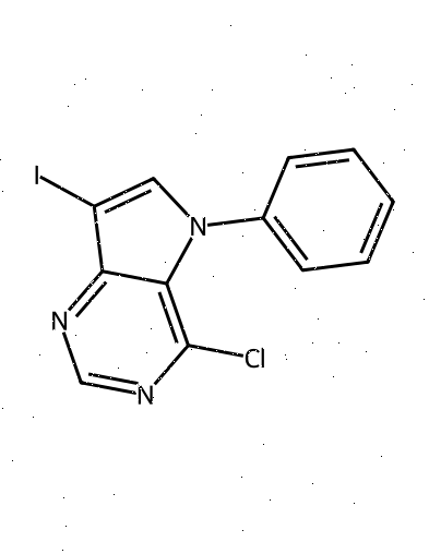 Clc1ncnc2c(I)cn(-c3ccccc3)c12